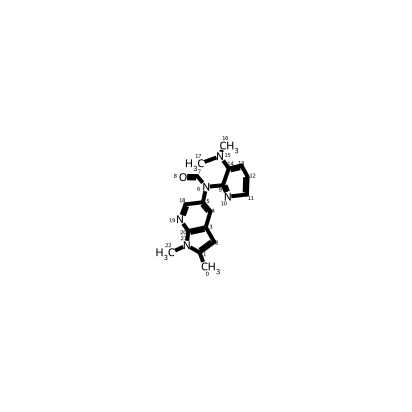 Cc1cc2cc(N(C=O)c3ncccc3N(C)C)cnc2n1C